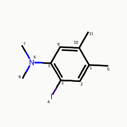 Cc1cc(I)c(N(C)C)cc1C